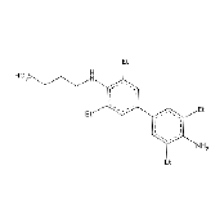 CCc1cc(-c2cc(CC)c(NCCCS(=O)(=O)O)c(CC)c2)cc(CC)c1N